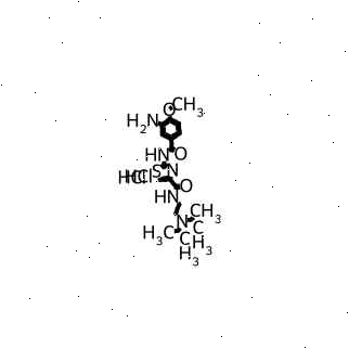 COc1ccc(C(=O)Nc2nc(C(=O)NCCN(C(C)C)C(C)C)cs2)cc1N.Cl.Cl